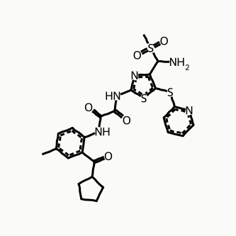 Cc1ccc(NC(=O)C(=O)Nc2nc(C(N)S(C)(=O)=O)c(Sc3ccccn3)s2)c(C(=O)C2CCCC2)c1